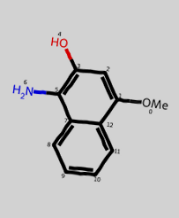 COc1cc(O)c(N)c2ccccc12